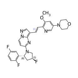 COc1cc(N2CCOCC2)cnc1/C=C/c1cnn2ccc(N3C[C@@H](F)C[C@@H]3c3cc(F)ccc3F)nc12